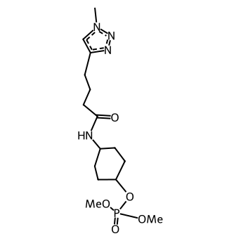 COP(=O)(OC)OC1CCC(NC(=O)CCCc2cn(C)nn2)CC1